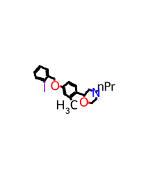 CCCN1CCOC(c2ccc(OCc3ccccc3I)cc2C)C1